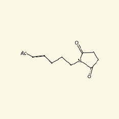 CC(=O)CCCCCN1C(=O)CCC1=O